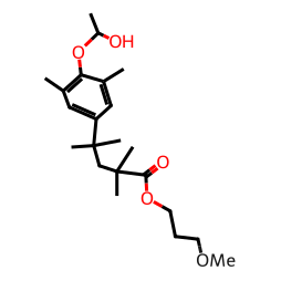 COCCCOC(=O)C(C)(C)CC(C)(C)c1cc(C)c(OC(C)O)c(C)c1